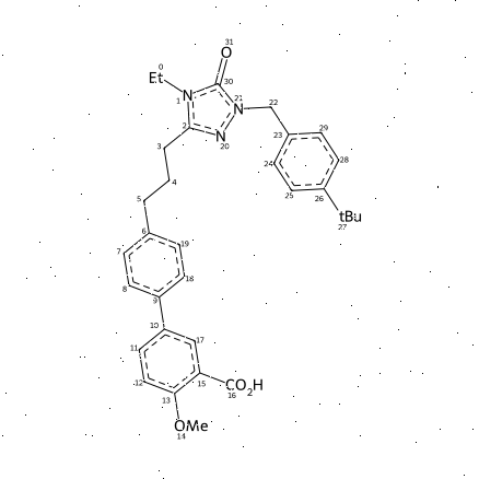 CCn1c(CCCc2ccc(-c3ccc(OC)c(C(=O)O)c3)cc2)nn(Cc2ccc(C(C)(C)C)cc2)c1=O